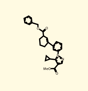 COC(=O)c1cnn(-c2cccc(C3=CC(C(=O)OCc4ccccc4)CCC3)c2)c1C1CC1